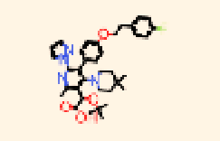 Cc1nc(-n2cccn2)c(-c2ccc(OCCc3ccc(F)cc3)cc2)c(N2CCC(C)(C)CC2)c1C(OC(C)(C)C)C(=O)O